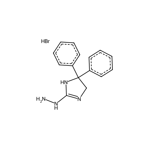 Br.NNC1=NCC(c2ccccc2)(c2ccccc2)N1